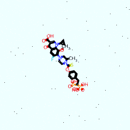 COc1c(N2CCN(C(=S)Oc3ccc(CC(P(=O)(O)O)P(=O)(O)O)cc3)C(C)C2)c(F)cc2c(=O)c(C(=O)O)cn(C3CC3)c12